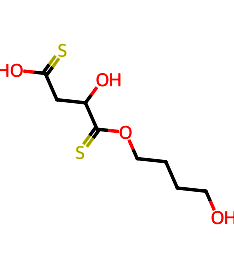 OCCCCOC(=S)C(O)CC(O)=S